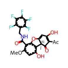 COc1cc(O)c2c(c1C(=O)NCc1c(F)c(F)c(F)c(F)c1F)OC1=CC(O)=C(C(C)=O)C(=O)[C@]12C